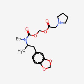 CCN(C(=O)OCOC(=O)CN1CCCC1)C(C)Cc1ccc2c(c1)OCO2